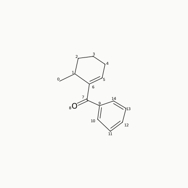 CC1CCCC=C1C(=O)c1ccccc1